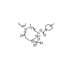 CC[Si](CC)(CC)O[C@]1(C)CCCCC(=O)O[C@H](/C(C)=C/I)[C@@H](C)/C=C/[C@@H]1OC(=O)N1CCN(C)CC1